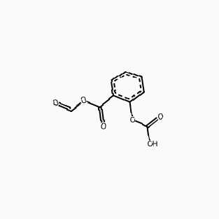 O=COC(=O)c1ccccc1OC(=O)O